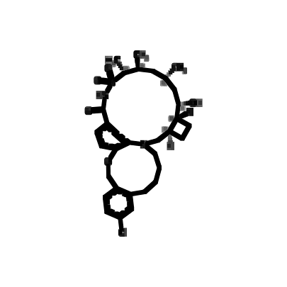 C[C@H]1C[C@H](C)[C@@H](C)S(=O)(=O)NC(=O)c2ccc3c(c2)N(CCCCc2cc(Cl)ccc2CO3)C[C@@H]2CC[C@H]2[C@@H](O)C1